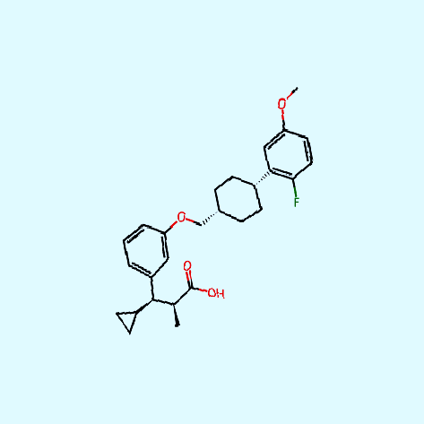 COc1ccc(F)c([C@H]2CC[C@@H](COc3cccc([C@H](C4CC4)[C@H](C)C(=O)O)c3)CC2)c1